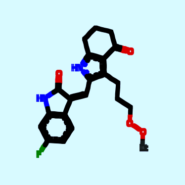 CCOOCCCc1c(/C=C2\C(=O)Nc3cc(F)ccc32)[nH]c2c1C(=O)CCC2